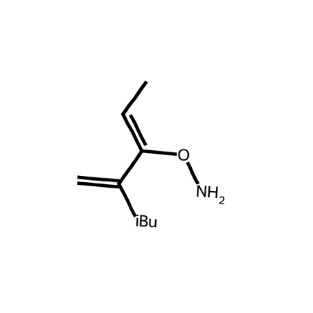 C=C(/C(=C/C)ON)C(C)CC